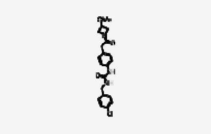 COC1CN(C(=O)Cc2ccc(NC(=O)NCc3ccc(Cl)cc3)cc2)C1